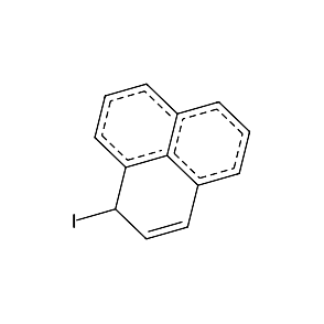 IC1C=Cc2cccc3cccc1c23